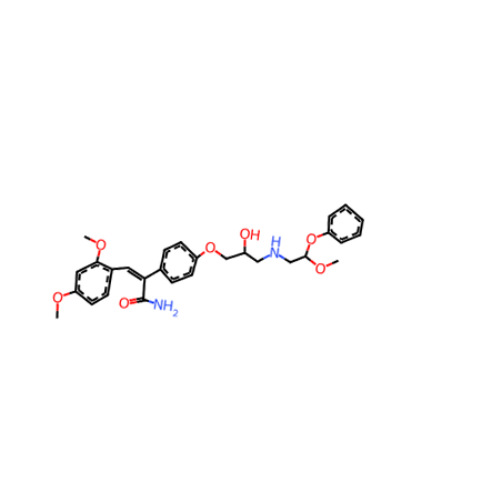 COc1ccc(C=C(C(N)=O)c2ccc(OCC(O)CNCC(OC)Oc3ccccc3)cc2)c(OC)c1